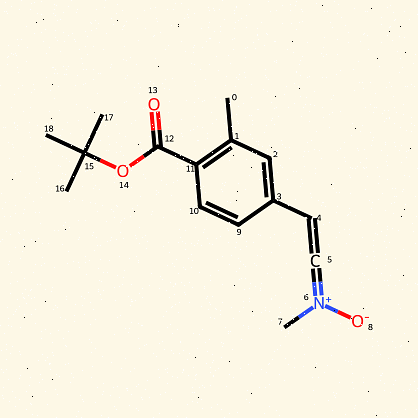 Cc1cc(C=C=[N+](C)[O-])ccc1C(=O)OC(C)(C)C